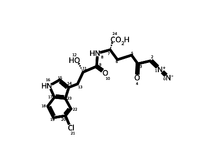 [N-]=[N+]=CC(=O)CC[C@H](NC(=O)[C@@H](O)Cc1c[nH]c2ccc(Cl)cc12)C(=O)O